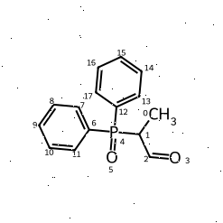 CC(C=O)P(=O)(c1ccccc1)c1ccccc1